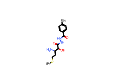 CC(C)SCC[C@@H](N)C(O)C(=O)NNC(=O)c1ccc(C(C)(C)C)cc1